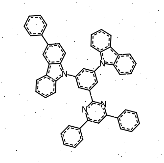 c1ccc(-c2ccc3c(c2)c2ccccc2n3-c2cc(-c3nc(-c4ccccc4)cc(-c4ccccc4)n3)cc(-n3c4ccccc4c4ccccc43)c2)cc1